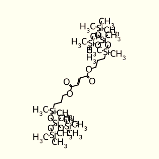 C[Si](C)(C)O[Si](C)(O[Si](C)(C)C)O[Si](C)(C)CCCOC(=O)C=CC(=O)OCCC[Si](C)(C)O[Si](C)(O[Si](C)(C)C)O[Si](C)(C)C